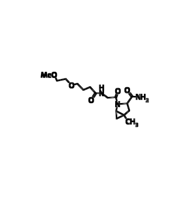 COCCOCCCC(=O)NCC(=O)N1C(C(N)=O)CC2(C)CC12